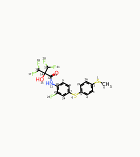 CSc1ccc(Sc2ccc(NC(=O)C(O)(C(F)F)C(F)F)c(F)c2)cc1